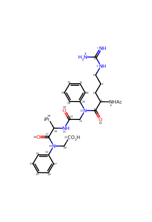 CC(=O)NC(CCCNC(=N)N)C(=O)N(CC(=O)NC(C(=O)N(CC(=O)O)c1ccccc1)C(C)C)c1ccccc1